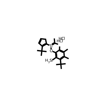 C[C](C)=[Ti]([O]c1c(C)c(C)c(C)c(C(C)(C)C)c1[SiH3])[C]1=C(C(C)(C)C)C=CC1.Cl.Cl